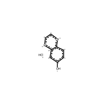 Cl.Oc1ccc2nccnc2c1